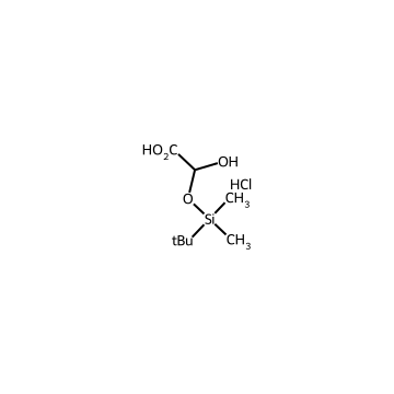 CC(C)(C)[Si](C)(C)OC(O)C(=O)O.Cl